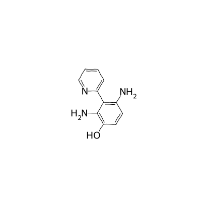 Nc1ccc(O)c(N)c1-c1ccccn1